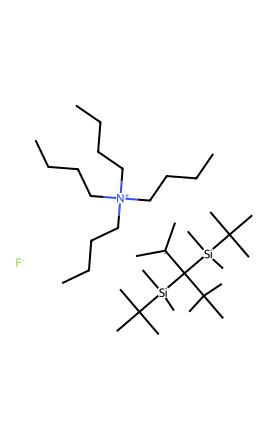 CCCC[N+](CCCC)(CCCC)CCCC.C[C](C)C(C(C)(C)C)([Si](C)(C)C(C)(C)C)[Si](C)(C)C(C)(C)C.[F-]